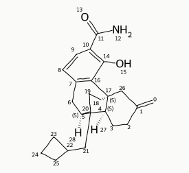 C=C1CC[C@H]2[C@H]3Cc4ccc(C(N)=O)c(O)c4[C@@]2(CCC3CC2CCC2)C1